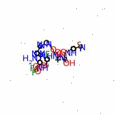 Cc1ncsc1-c1ccc(CNC(=O)[C@@H]2C[C@@H](O)CN2C(=O)[C@@H](NC(=O)COCCN2CCCC(n3cc(-c4cnc(N)c5c(-c6ccc(NS(=O)(=O)C(F)F)c(O[C@@H](C)c7ccc(F)cc7)c6)nn(C)c45)cn3)C2)C(C)(C)C)cc1